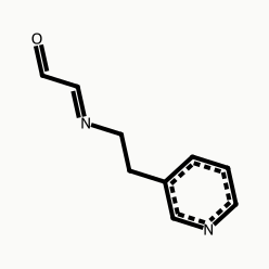 O=CC=NCCc1cccnc1